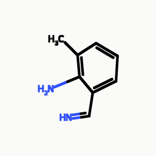 Cc1cccc(C=N)c1N